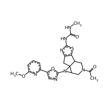 CNC(=O)Nc1nc2c(s1)C1CN(C(C)=O)CC3N(c4ncc(-c5cccc(OC)n5)o4)C13C2